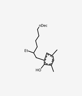 CCCCCCCCCCCCCCC(CC)Cc1cc(C)cc(C)c1O